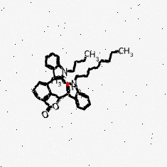 CCCCCCCCn1c(C)c(C2OC(=O)c3cccc(-c4c(C)n(CCCC)c5ccccc45)c32)c2ccccc21